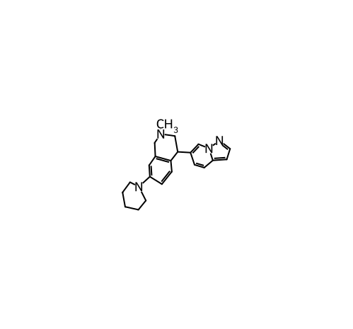 CN1Cc2cc(N3CCCCC3)ccc2C(c2ccc3ccnn3c2)C1